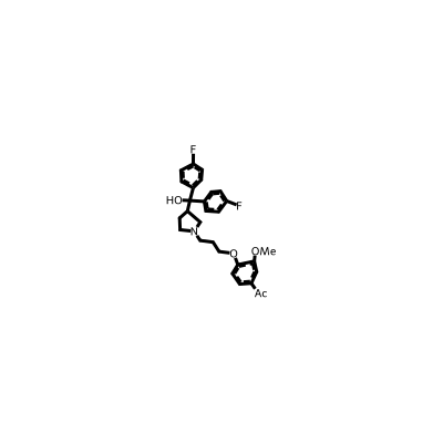 COc1cc(C(C)=O)ccc1OCCCN1CCC(C(O)(c2ccc(F)cc2)c2ccc(F)cc2)C1